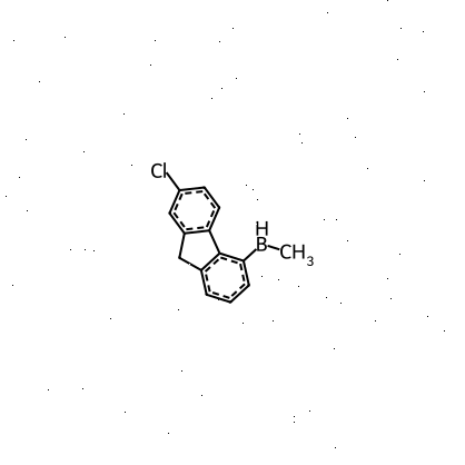 CBc1cccc2c1-c1ccc(Cl)cc1C2